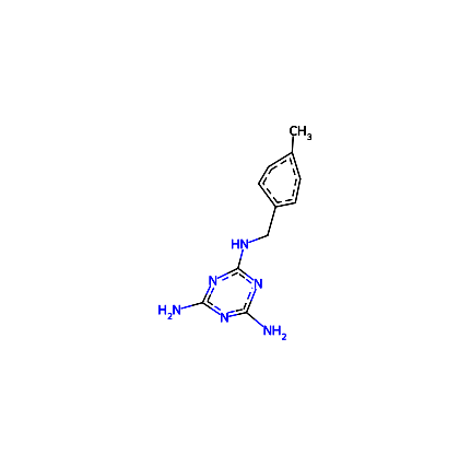 Cc1ccc(CNc2nc(N)nc(N)n2)cc1